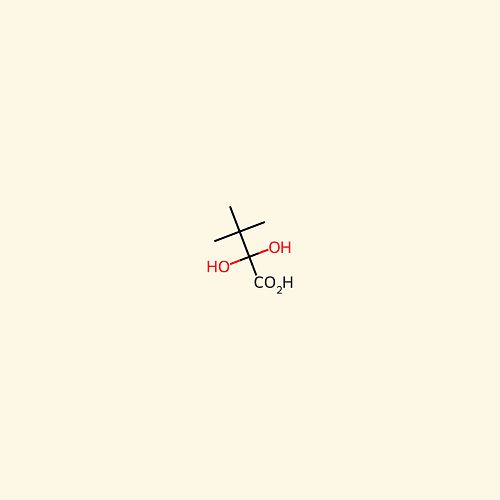 CC(C)(C)C(O)(O)C(=O)O